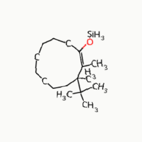 CC1=C(O[SiH3])CCCCCCCCC1(C)C(C)(C)C